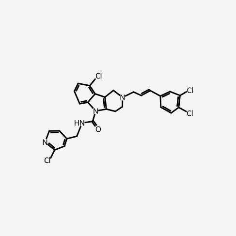 O=C(NCc1ccnc(Cl)c1)n1c2c(c3c(Cl)cccc31)CN(CC=Cc1ccc(Cl)c(Cl)c1)CC2